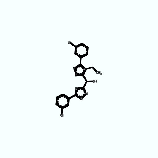 CCn1c(-c2cccc(Cl)c2)nnc1C(S)c1noc(-c2cccc(Cl)c2)n1